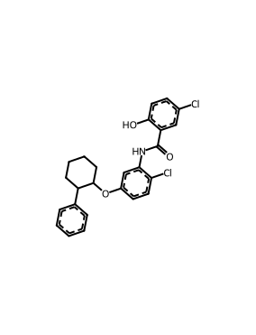 O=C(Nc1cc(OC2CCCCC2c2ccccc2)ccc1Cl)c1cc(Cl)ccc1O